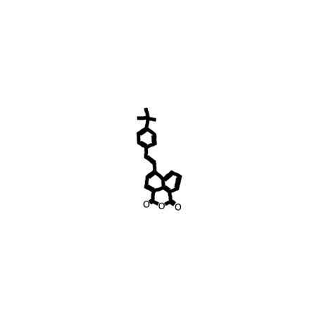 CC(C)(C)c1ccc(/C=C/c2ccc3c4c(cccc24)C(=O)OC3=O)cc1